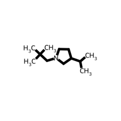 CC(C)C1CCN(CC(C)(C)C)C1